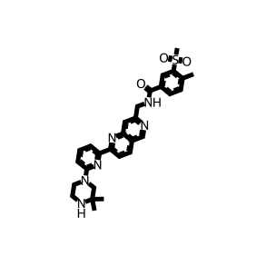 Cc1ccc(C(=O)NCc2cc3nc(-c4cccc(N5CCNC(C)(C)C5)n4)ccc3cn2)cc1S(C)(=O)=O